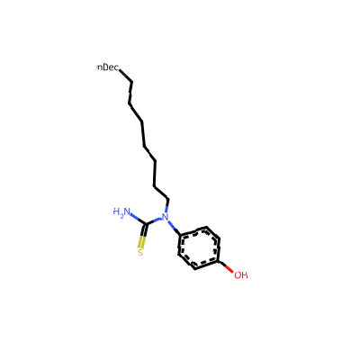 CCCCCCCCCCCCCCCCCN(C(N)=S)c1ccc(O)cc1